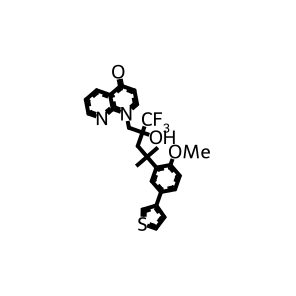 COc1ccc(-c2ccsc2)cc1C(C)(C)CC(O)(Cn1ccc(=O)c2cccnc21)C(F)(F)F